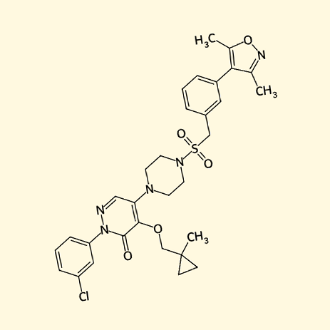 Cc1noc(C)c1-c1cccc(CS(=O)(=O)N2CCN(c3cnn(-c4cccc(Cl)c4)c(=O)c3OCC3(C)CC3)CC2)c1